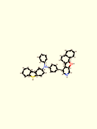 c1ccc(N(c2ccc(-c3cncc4oc5c6ccccc6ccc5c34)cc2)c2ccc3sc4ccccc4c3c2)cc1